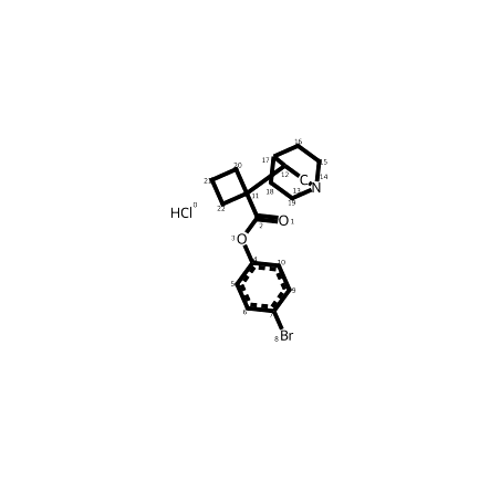 Cl.O=C(Oc1ccc(Br)cc1)C1(C2CN3CCC2CC3)CCC1